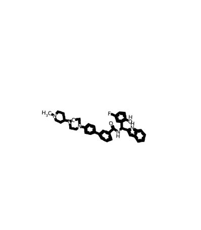 CN1CCC(N2CCN(c3ccc(-c4cccc(C(=O)NC(c5cc6ccccc6[nH]5)c5cc(F)ccc5O)c4)cc3)CC2)CC1